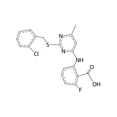 Cc1cc(Nc2cccc(F)c2C(=O)O)nc(SCc2ccccc2Cl)n1